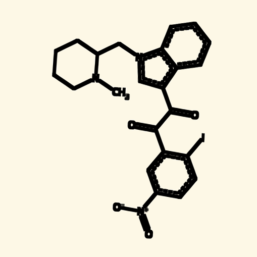 CN1CCCCC1Cn1cc(C(=O)C(=O)c2cc([N+](=O)[O-])ccc2I)c2ccccc21